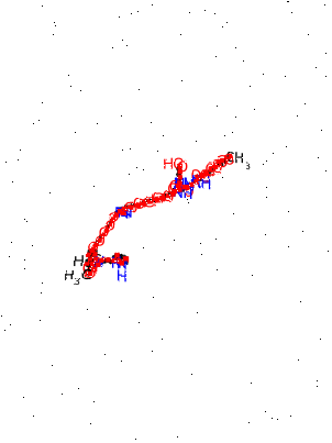 COCCOCCOCCOCCOCCC(=O)NCCNC(=O)CCC(NC(=O)CCOCCOCCOCCOCCOCc1cn(CCOCCOCCOCCOCCOc2ccc(-c3cccc([C@H](CC(=O)OC)CN(C)CCCCc4ccc5c(n4)NCCC5)c3)cc2)nn1)C(=O)NCCCCCC(=O)O